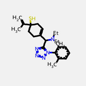 C=C(C)C1(S)CC=C(C(c2nnnn2-c2c(C)cccc2C)N(CC)CC)CC1